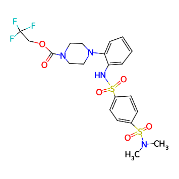 CN(C)S(=O)(=O)c1ccc(S(=O)(=O)Nc2ccccc2N2CCN(C(=O)OCC(F)(F)F)CC2)cc1